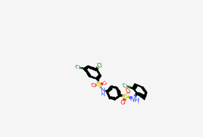 O=S(=O)(Nc1ccc(S(=O)(=O)Nc2ccccc2Cl)cc1)c1cc(Cl)cc(Cl)c1